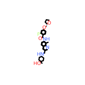 Cc1c(NC(=O)c2ccc(OC[C@@H]3CCCO3)cc2F)ccc2cc(CNC3CCC(C)(O)CC3)cnc12